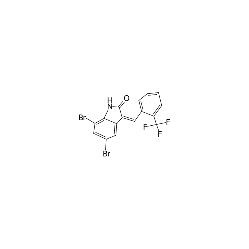 O=C1Nc2c(Br)cc(Br)cc2C1=Cc1ccccc1C(F)(F)F